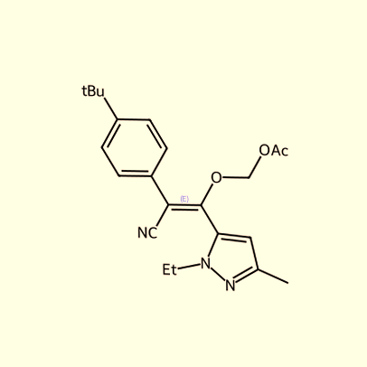 CCn1nc(C)cc1/C(OCOC(C)=O)=C(\C#N)c1ccc(C(C)(C)C)cc1